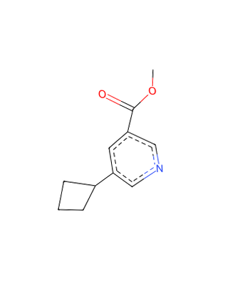 COC(=O)c1cncc(C2CCC2)c1